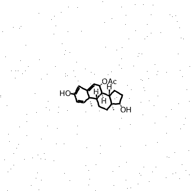 CC(=O)O[C@H]1C=C2C=C(O)C=C[C@]2(C)[C@H]2CC[C@]3(C)[C@@H](O)CC[C@H]3[C@H]12